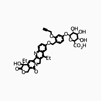 C#CCOc1cc(O[C@@H]2O[C@H](C(=O)O)[C@@H](O)[C@H](O)[C@H]2O)ccc1COc1ccc2nc3c(c(CC)c2c1)Cn1c-3cc2c(c1=O)COC(=O)[C@]2(O)CC